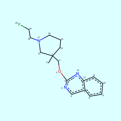 CC1(COc2ncc3ccccc3n2)CCCN(CCF)C1